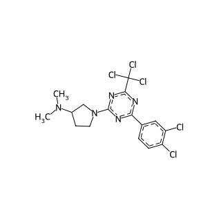 CN(C)C1CCN(c2nc(-c3ccc(Cl)c(Cl)c3)nc(C(Cl)(Cl)Cl)n2)C1